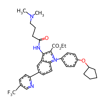 CCOC(=O)c1c(NC(=O)CCCN(C)C)c2cc(-c3ccc(C(F)(F)F)cn3)ccc2n1-c1ccc(OC2CCCC2)cc1